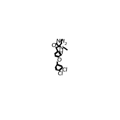 CCCC(Cc1ccc(OCc2ccc(Cl)c(Cl)c2)cc1)(NCC)C(N)=O